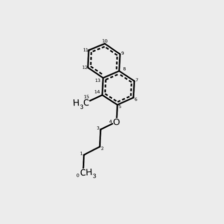 CCCCOc1ccc2ccccc2c1C